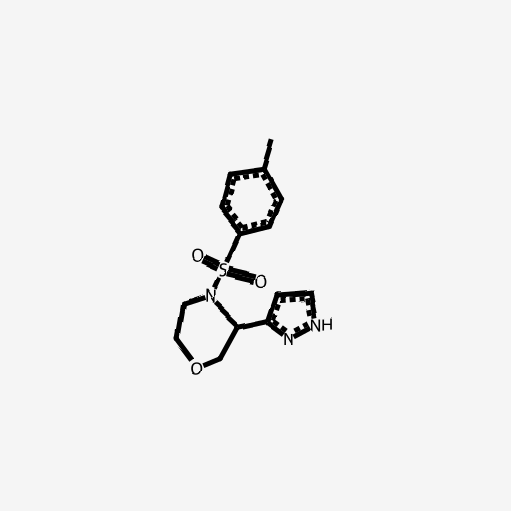 Cc1ccc(S(=O)(=O)N2CCOCC2c2cc[nH]n2)cc1